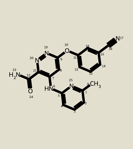 Cc1cccc(Nc2cc(Oc3cccc(C#N)c3)nnc2C(N)=O)n1